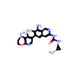 Cc1c(-c2cc3cc(NC(=O)N[C@@H]4C[C@@H]4C)ncc3c(N)c2C)cnc2c1NCCO2